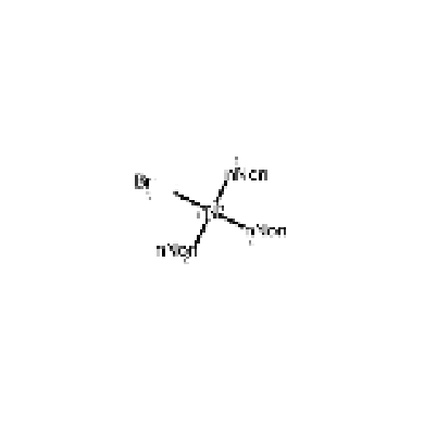 CCCCCCCCC[N+](C)(CCCCCCCCC)CCCCCCCCC.[Br-]